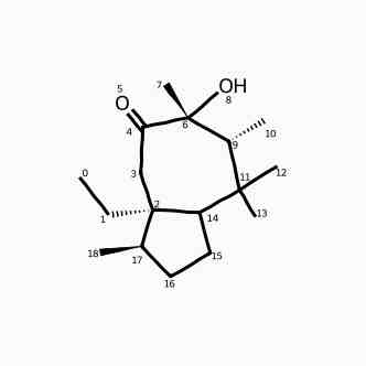 CC[C@]12CC(=O)[C@](C)(O)[C@H](C)C(C)(C)C1CC[C@H]2C